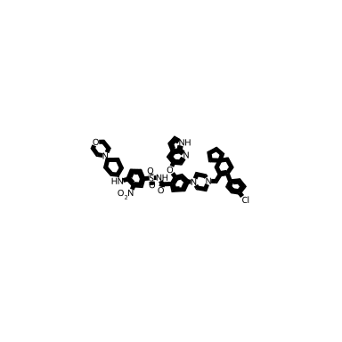 O=C(NS(=O)(=O)c1ccc(N[C@H]2CC[C@H](N3CCOCC3)CC2)c([N+](=O)[O-])c1)c1ccc(N2CCN(CC3=C(c4ccc(Cl)cc4)CCC4(CCCC4)C3)CC2)cc1Oc1cnc2[nH]ccc2c1